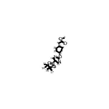 COC(=O)C[C@H]1CC[C@@H](Oc2ncc(B3OC(C)(C)C(C)(C)O3)cn2)CC1